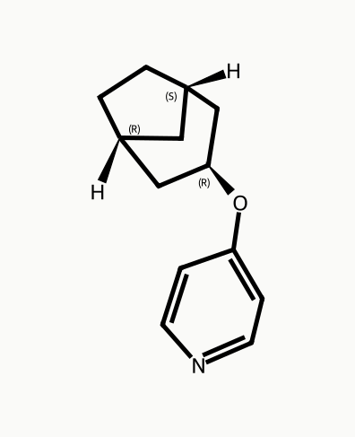 c1cc(O[C@H]2C[C@@H]3CC[C@@H](C3)C2)ccn1